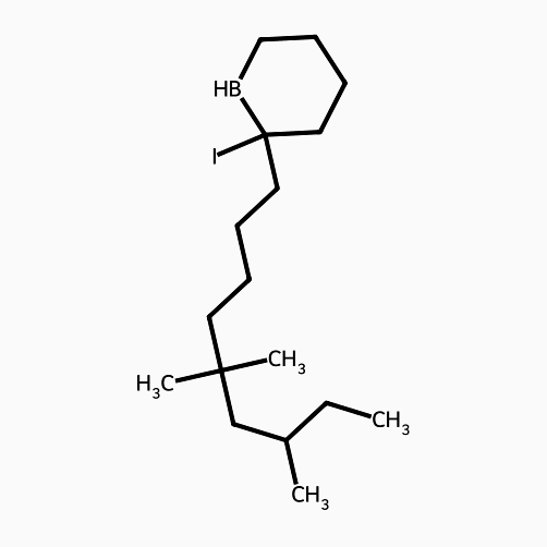 CCC(C)CC(C)(C)CCCCC1(I)BCCCC1